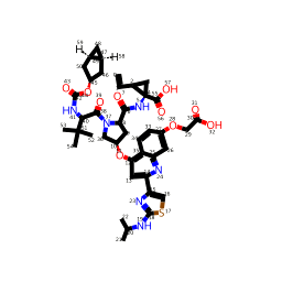 C=CC1C[C@]1(NC(=O)C1C[C@@H](Oc2cc(-c3csc(NC(C)C)n3)nc3cc(OCC(=O)O)ccc23)CN1C(=O)C(NC(=O)O[C@@H]1C[C@@H]2C[C@@H]2C1)C(C)(C)C)C(=O)O